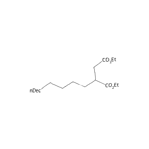 CCCCCCCCCCCCCCC(CC(=O)OCC)C(=O)OCC